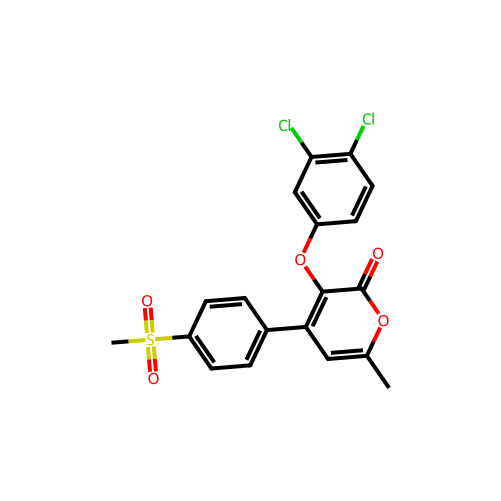 Cc1cc(-c2ccc(S(C)(=O)=O)cc2)c(Oc2ccc(Cl)c(Cl)c2)c(=O)o1